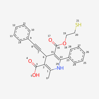 CC1=C(C(=O)O)C(C#Cc2ccccc2)C(C(=O)OCCS)=C(c2ccccc2)N1